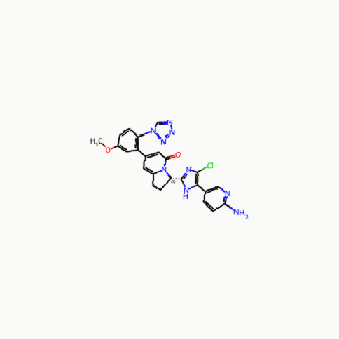 COc1ccc(-n2cnnn2)c(-c2cc3n(c(=O)c2)[C@H](c2nc(Cl)c(-c4ccc(N)nc4)[nH]2)CC3)c1